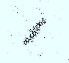 CS(=O)(=O)C1CC=C(C[C@H](NC(=O)c2c(Cl)cc3c(c2Cl)CCN(C(=O)c2ccc4c(c2)OCC4)C3)C(=O)O)O1